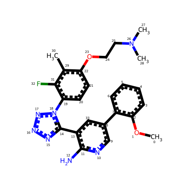 COc1ccccc1-c1cnc(N)c(-c2nnnn2-c2ccc(OCCN(C)C)c(C)c2F)c1